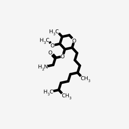 COC1C(C)COC(CCCC(C)CCCC(C)C)C1OC(=O)CN